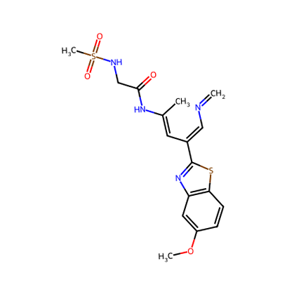 C=N/C=C(\C=C(/C)NC(=O)CNS(C)(=O)=O)c1nc2cc(OC)ccc2s1